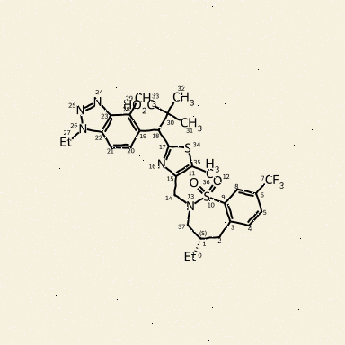 CC[C@H]1Cc2ccc(C(F)(F)F)cc2S(=O)(=O)N(Cc2nc(C(c3ccc4c(nnn4CC)c3C)C(C)(C)C(=O)O)sc2C)C1